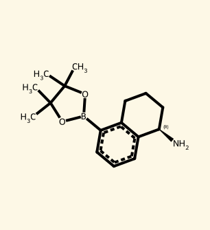 CC1(C)OB(c2cccc3c2CCC[C@H]3N)OC1(C)C